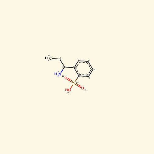 CCC(N)c1ccccc1S(=O)(=O)O